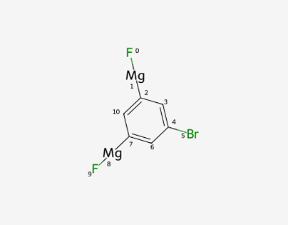 [F][Mg][c]1cc(Br)c[c]([Mg][F])c1